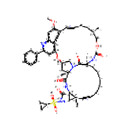 COc1cc2nc(-c3ccccc3)cc3c2cc1/C=C/CC[C@@H](C)COC(=O)N[C@H]1CCCCC/C=C\[C@@H]2C[C@@]2(C(=O)NS(=O)(=O)C2CC2)NC(=O)[C@@H]2C[C@H](CN2C1=O)O3